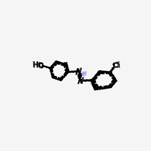 Oc1ccc(/N=N/c2cccc(Cl)c2)cc1